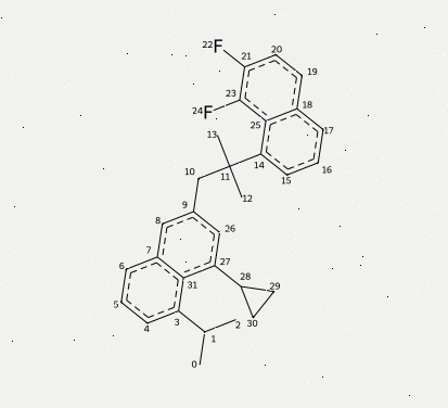 CC(C)c1cccc2cc(CC(C)(C)c3cccc4ccc(F)c(F)c34)cc(C3CC3)c12